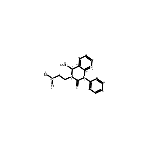 CCN(CC)CCN1C(=O)N(c2ccccc2)c2ncccc2C1OC